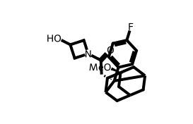 CO[C@]12CC3CC(C1)[C@](CC(=O)N1CC(O)C1)(c1ccc(F)cc1)C(C3)C2